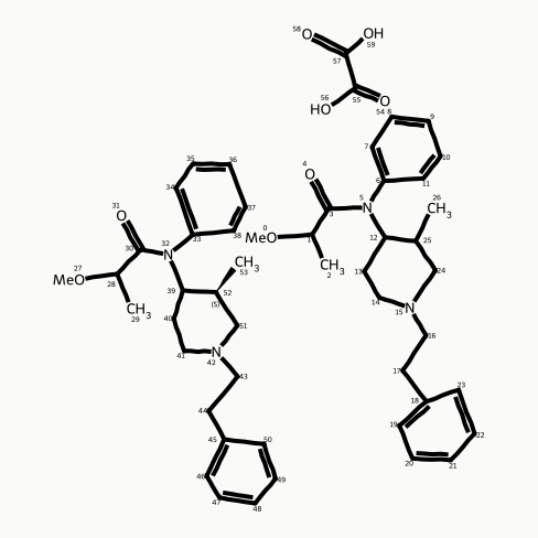 COC(C)C(=O)N(c1ccccc1)C1CCN(CCc2ccccc2)CC1C.COC(C)C(=O)N(c1ccccc1)C1CCN(CCc2ccccc2)C[C@@H]1C.O=C(O)C(=O)O